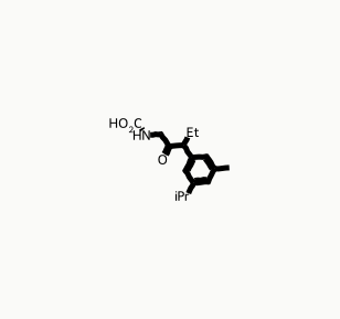 CCC(C(=O)CNC(=O)O)c1cc(C)cc(C(C)C)c1